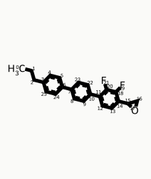 CCCc1ccc(-c2ccc(-c3ccc(C4CO4)c(F)c3F)cc2)cc1